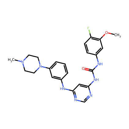 COc1cc(NC(=O)Nc2cc(Nc3cccc(N4CCN(C)CC4)c3)ncn2)ccc1F